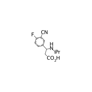 CC(C)NC(CC(=O)O)c1ccc(F)c(C#N)c1